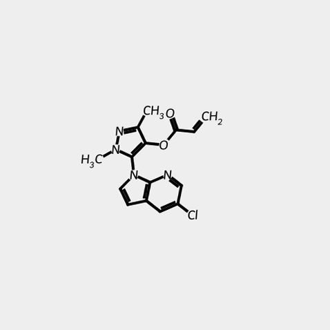 C=CC(=O)Oc1c(C)nn(C)c1-n1ccc2cc(Cl)cnc21